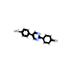 CCCc1ccc(-c2cnc(C3CCC(CC)CC3)nc2)cc1